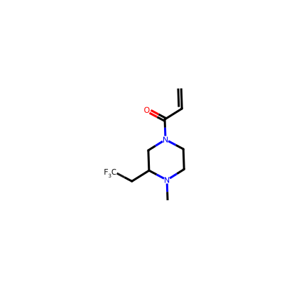 C=CC(=O)N1CCN(C)C(CC(F)(F)F)C1